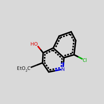 CCOC(=O)c1cnc2c(Cl)cccc2c1O